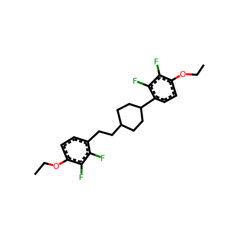 CCOc1ccc(CCC2CCC(c3ccc(OCC)c(F)c3F)CC2)c(F)c1F